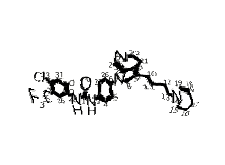 O=C(Nc1ccc(-n2cc(CCCCN3CCCCC3)c3ccncc32)cc1)Nc1ccc(Cl)c(C(F)(F)F)c1